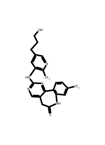 OCCCc1cnc(C(F)(F)F)c(Nc2ncc3c(n2)-c2ccc(C(F)(F)F)cc2NC(=S)C3)c1